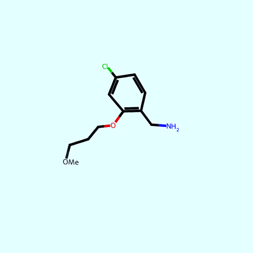 COCCCOc1cc(Cl)ccc1CN